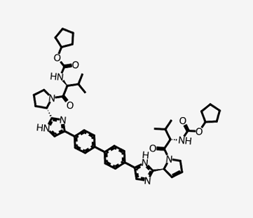 CC(C)[C@H](NC(=O)OC1CCCC1)C(=O)N1CC=C[C@H]1c1ncc(-c2ccc(-c3ccc(-c4c[nH]c([C@@H]5CCCN5C(=O)[C@@H](NC(=O)OC5CCCC5)C(C)C)n4)cc3)cc2)[nH]1